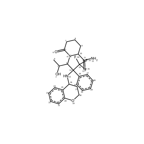 CC(O)C(N1C(=O)CCCC1C(N)=O)C(NC1CCOc2ccccc21)(c1ccccc1)C(F)(F)F